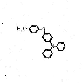 Cc1ccc(Oc2ccc(N(c3ccccc3)c3ccccc3)cc2)cc1